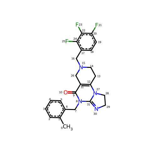 Cc1ccccc1CN1C(=O)C2=C(CCN(Cc3ccc(F)c(F)c3F)C2)N2CCN=C12